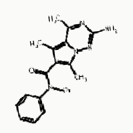 Cc1nc(N)nn2c(C)c(C(=O)N(c3ccccc3)C(C)C)c(C)c12